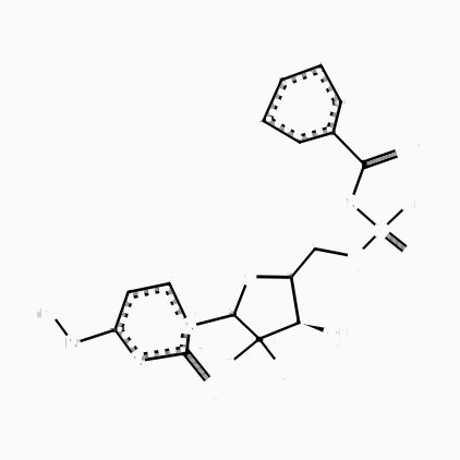 CC(C)Nc1ccn(C2OC(COP(=O)(S)NC(=O)c3ccccc3)[C@@H](O)C2(F)F)c(=O)n1